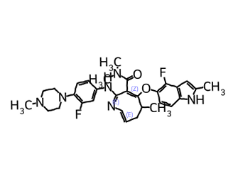 Cc1cc2c(F)c(O/C3=C(C(=O)N(C)C)/C(Nc4ccc(N5CCN(C)CC5)c(F)c4)=N\C=C\CC3C)ccc2[nH]1